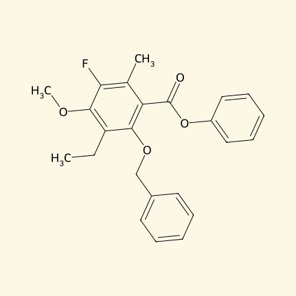 CCc1c(OC)c(F)c(C)c(C(=O)Oc2ccccc2)c1OCc1ccccc1